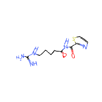 N=C(N)NCCCCC(=O)NC(=O)c1nccs1